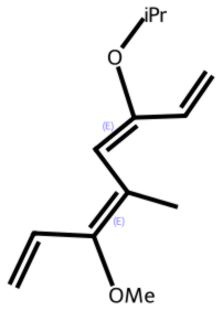 C=C/C(=C\C(C)=C(/C=C)OC)OC(C)C